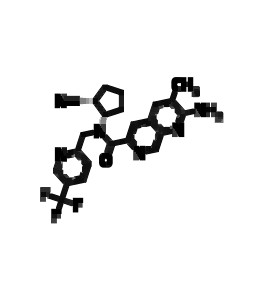 Cc1cc2cc(C(=O)N(Cc3ccc(C(F)(F)F)cn3)[C@H]3CCC[C@H]3C#N)ncc2nc1N